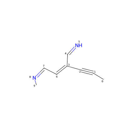 CC#C/C(C=N)=C/C=N\C